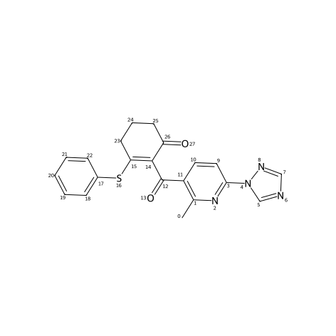 Cc1nc(-n2cncn2)ccc1C(=O)C1=C(Sc2ccccc2)CCCC1=O